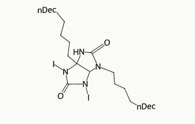 CCCCCCCCCCCCCCN1C(=O)NC2(CCCCCCCCCCCCCC)C1N(I)C(=O)N2I